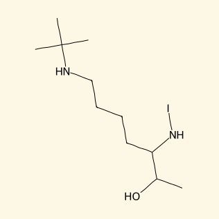 CC(O)C(CCCCNC(C)(C)C)NI